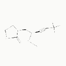 CN[C@H](C#CC(F)(F)F)C[C@@H]1CCNC1=O